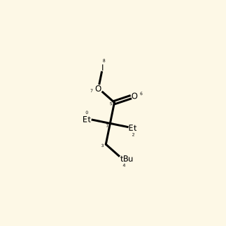 CCC(CC)(CC(C)(C)C)C(=O)OI